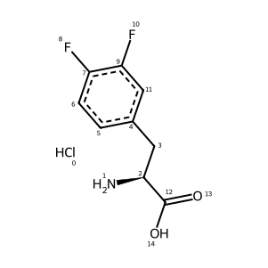 Cl.N[C@@H](Cc1ccc(F)c(F)c1)C(=O)O